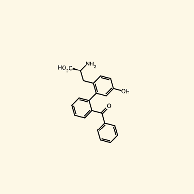 N[C@@H](Cc1ccc(O)cc1-c1ccccc1C(=O)c1ccccc1)C(=O)O